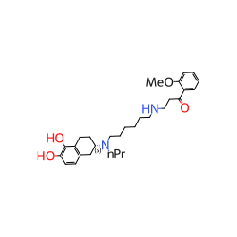 CCCN(CCCCCCNCCC(=O)c1ccccc1OC)[C@H]1CCc2c(ccc(O)c2O)C1